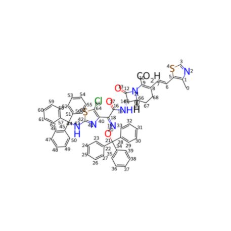 Cc1ncsc1C=CC1=C(C(=O)O)N2C(=O)[C@@H](NC(=O)C(=NOC(c3ccccc3)(c3ccccc3)c3ccccc3)c3nc(NC(c4ccccc4)(c4ccccc4)c4ccccc4)sc3Cl)[C@H]2CC1